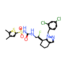 Cc1cc(S(=O)(=O)NC(=O)NCC(F)=C2CCCc3cnn(Cc4ccc(Cl)cc4Cl)c32)sc1C